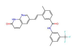 Cc1cc(NC(=O)c2ccc(C)c(/C=C/c3cnc4[nH]c(=O)ccc4c3)c2)cc(C(F)(F)F)c1